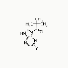 CC(C)(C)C(=O)c1c[nH]c2ncc(Cl)nc12